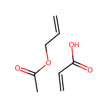 C=CC(=O)O.C=CCOC(C)=O